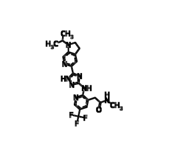 CNC(=O)Cc1cc(C(F)(F)F)cnc1Nc1n[nH]c(-c2cc3c(cn2)N(C(C)C)CC3)n1